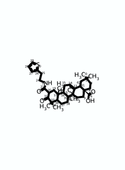 CC1(C)CC[C@]2(C(=O)O)CC[C@]3(C)C(=CCC4[C@@]5(C)CC(C(=O)NCCc6cccs6)C(=O)C(C)(C)C5CC[C@]43C)C2C1